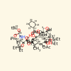 CC[Si](CC)(CC)O[C@H]1C[C@H]2OC[C@@]2(OC(C)=O)[C@H]2[C@H](OC(=O)c3ccccc3)[C@]3(O)C[C@H](OC(=O)[C@H](O[Si](CC)(CC)CC)[C@H](CC(C)C)NC(=O)OC(C)(C)C)C(C)=C([C@H](OC(C)=O)[C@H](O)[C@]12C)C3(C)C